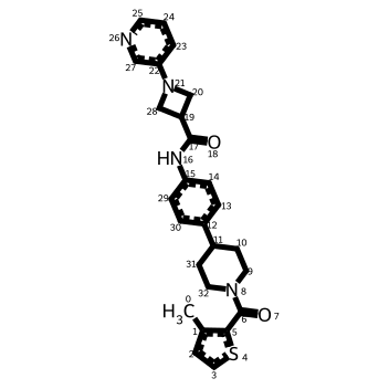 Cc1ccsc1C(=O)N1CCC(c2ccc(NC(=O)C3CN(c4cccnc4)C3)cc2)CC1